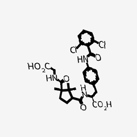 CC1(C(=O)NCC(=O)O)CCC(C(=O)N[C@@H](Cc2ccc(NC(=O)c3c(Cl)cccc3Cl)cc2)C(=O)O)C1(C)C